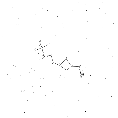 CC(C)(C)OCCC1CC(CO)C1